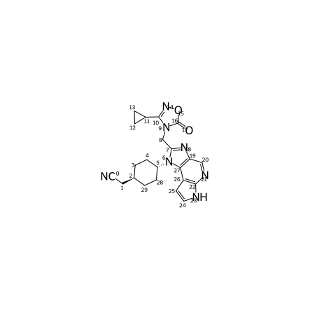 N#CC[C@H]1CC[C@H](n2c(Cn3c(C4CC4)noc3=O)nc3cnc4[nH]ccc4c32)CC1